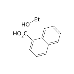 CCO.O=C(O)c1cccc2ccccc12